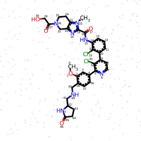 COc1cc(-c2nccc(-c3cccc(NC(=O)c4nc5c(n4C)CCN(C(=O)CO)C5)c3Cl)c2Cl)ccc1CNCC1CCC(=O)N1